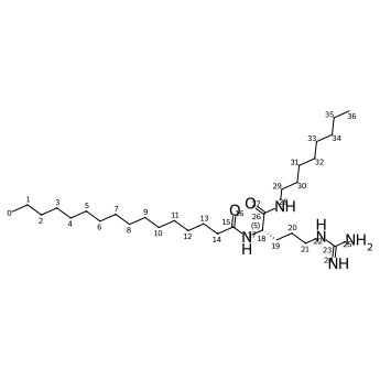 CCCCCCCCCCCCCCCC(=O)N[C@@H](CCCNC(=N)N)C(=O)NCCCCCCCC